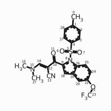 Cc1ccc(S(=O)(=O)n2c(C(=O)C(C#N)=CN(C)C)cc3cc(OC(F)(F)F)ccc32)cc1